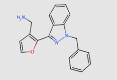 NCc1ccoc1-c1nn(Cc2ccccc2)c2ccccc12